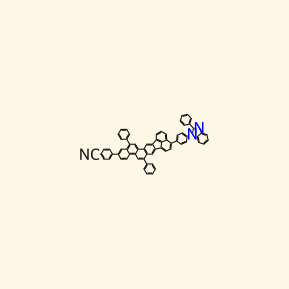 N#Cc1ccc(-c2ccc3c(c2)c(-c2ccccc2)cc2c4cc5c(cc4c(-c4ccccc4)cc32)-c2ccc(-c3ccc(-n4c(-c6ccccc6)nc6ccccc64)cc3)c3cccc-5c23)cc1